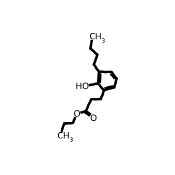 CCCCc1cccc(CCC(=O)OCCC)c1O